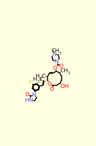 C/C(=C\c1cc(F)cc(N2CCNC2=O)c1)[C@H]1OC(=O)C[C@H](O)CC[C@H](C)[C@H](OC(=O)N2CCN(C)CC2)/C=C/[C@@H]1C